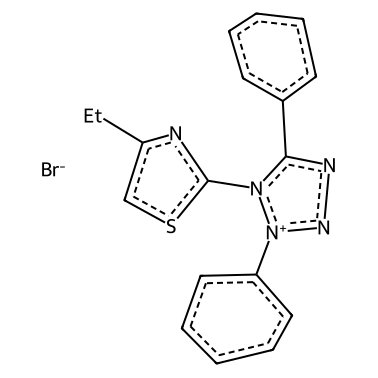 CCc1csc(-n2c(-c3ccccc3)nn[n+]2-c2ccccc2)n1.[Br-]